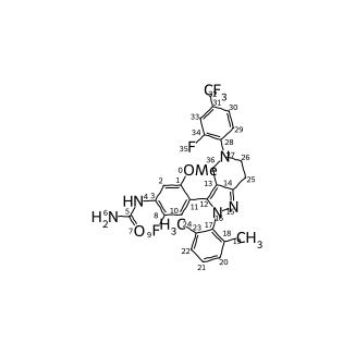 COc1cc(NC(N)=O)c(F)cc1-c1c2c(nn1-c1c(C)cccc1C)CCN(c1ccc(C(F)(F)F)cc1F)C2